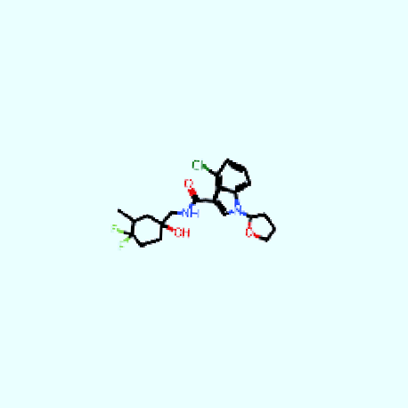 CC1CC(O)(CNC(=O)c2cn(C3CCCO3)c3cccc(Cl)c23)CCC1(F)F